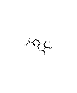 CCN(CC)c1ccc2c(O)c(C(C)=O)c(=O)oc2c1